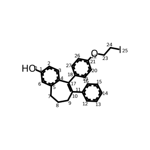 Oc1ccc2c(c1)CCCC(c1ccccc1)=C2c1ccc(OCCI)cc1